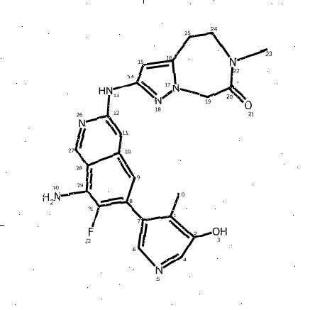 Cc1c(O)cncc1-c1cc2cc(Nc3cc4n(n3)CC(=O)N(C)CC4)ncc2c(N)c1F